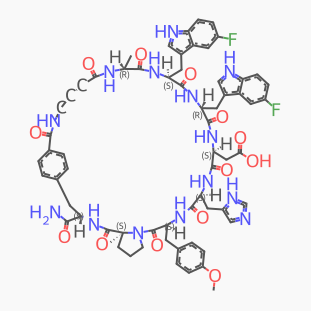 COc1ccc(C[C@@H]2NC(=O)[C@H](Cc3cnc[nH]3)NC(=O)[C@H](CC(=O)O)NC(=O)[C@@H](Cc3c[nH]c4ccc(F)cc34)NC(=O)[C@H](Cc3c[nH]c4ccc(F)cc34)NC(=O)[C@@H](C)NC(=O)CCCNC(=O)c3ccc(cc3)C[C@@H](C(N)=O)NC(=O)[C@]3(C)CCCN3C2=O)cc1